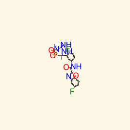 CN1C(=N)NC(C)(c2cc(NC(=O)c3nc4cc(F)ccc4o3)ccc2F)CS1(=O)=O